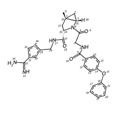 C[C@@]12C[C@@H]1N(C(=O)CNC(=O)c1ccc(Oc3ccccc3)cc1)[C@H](C(=O)NCc1cc(C(=N)N)cs1)C2